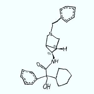 O=C(N[C@H]1C2CN(Cc3ccccc3)C[C@@H]21)C(O)(c1ccccc1)C1CCCCC1